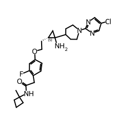 CC1(NC(=O)Cc2ccc(OCC[C@@H]3CC3(N)C3CCN(c4ncc(Cl)cn4)CC3)cc2F)CCC1